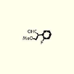 COCC([C]=O)c1ccccc1F